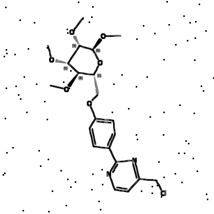 CO[C@H]1O[C@H](COc2ccc(-c3nccc(CCl)n3)cc2)[C@@H](OC)[C@H](OC)[C@@H]1OC